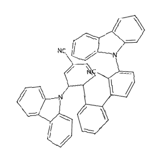 N#CC1=CC(n2c3ccccc3c3ccccc32)C(c2ccccc2-c2cccc(-n3c4ccccc4c4ccccc43)c2C#N)C=C1